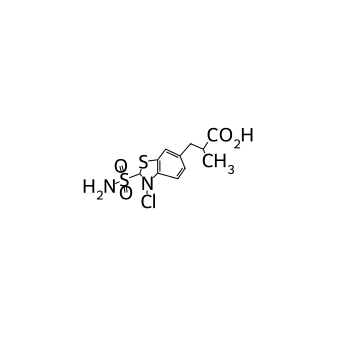 CC(Cc1ccc2c(c1)SC(S(N)(=O)=O)N2Cl)C(=O)O